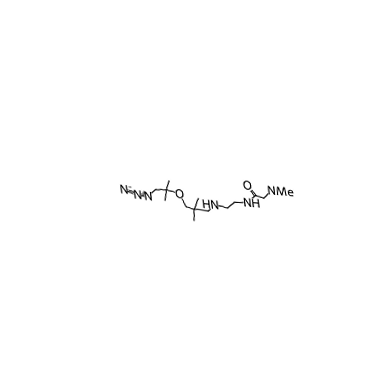 CNCC(=O)NCCNCC(C)(C)COC(C)(C)CN=[N+]=[N-]